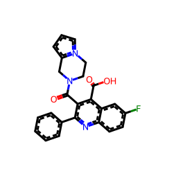 O=C(O)c1c(C(=O)N2CCn3cccc3C2)c(-c2ccccc2)nc2ccc(F)cc12